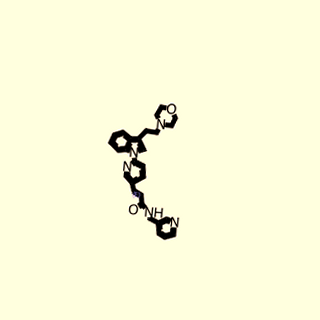 O=C(/C=C/c1ccc(-n2cc(CCN3CCOCC3)c3ccccc32)nc1)NCc1cccnc1